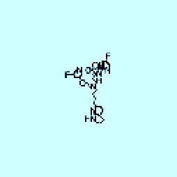 O=C(O)[C@H](CCN(CCCCc1ccc2c(n1)NCCC2)CCOc1cncc(F)c1)Nc1ncc(F)cn1